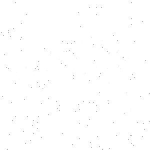 Cc1cccc(O/C=C\CC(=O)N2CCCc3c(-c4cnn(Cc5cccc(C(=O)O)c5)c4)cccc32)c1C